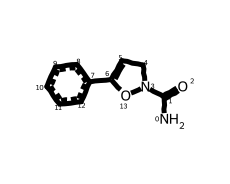 NC(=O)N1CC=C(c2ccccc2)O1